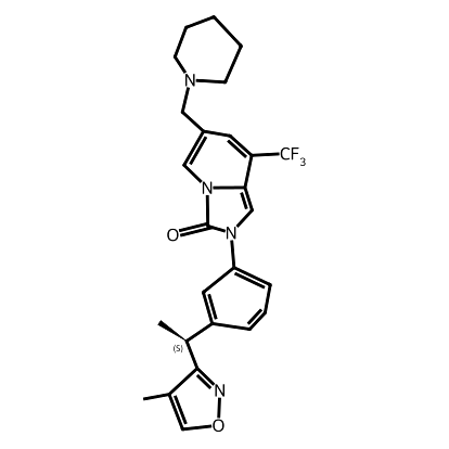 Cc1conc1[C@@H](C)c1cccc(-n2cc3c(C(F)(F)F)cc(CN4CCCCC4)cn3c2=O)c1